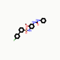 COc1cc(NC(=O)Nc2ccccc2)ccc1NS(=O)(=O)c1cccc(-c2ccc(F)cc2)c1